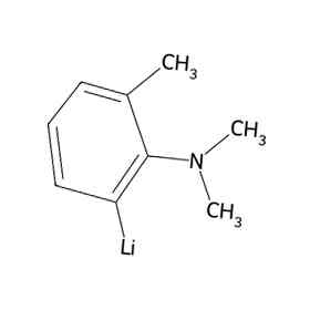 [Li][c]1cccc(C)c1N(C)C